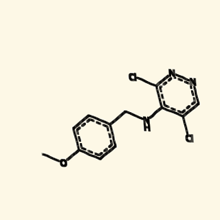 COc1ccc(CNc2c(Cl)cnnc2Cl)cc1